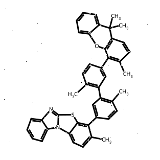 Cc1ccc(-c2c(C)ccc3c2Oc2ccccc2C3(C)C)cc1-c1cc(-c2c(C)ccc3c2sc2nc4ccccc4n23)ccc1C